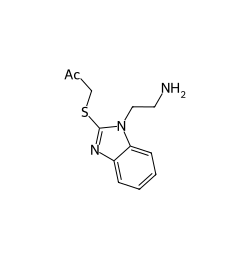 CC(=O)CSc1nc2ccccc2n1CCN